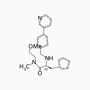 COCCN(C)C(=O)[C@H](Cc1ccccc1)NCc1ccc(-c2cccnc2)cc1